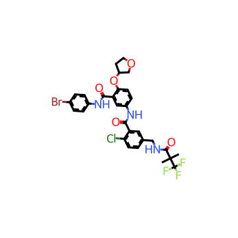 CC(C)(C(=O)NCc1ccc(Cl)c(C(=O)Nc2ccc(OC3CCOC3)c(C(=O)Nc3ccc(Br)cc3)c2)c1)C(F)(F)F